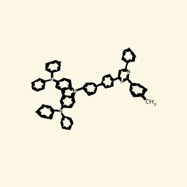 Cc1ccc(-c2nc(-c3ccccc3)cc(-c3ccc(-c4ccc(-n5c6ccc(N(c7ccccc7)c7ccccc7)cc6c6cc(N(c7ccccc7)c7ccccc7)ccc65)cc4)cc3)n2)cc1